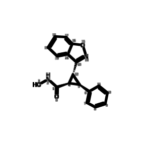 O=C(NO)[C@@H]1[C@H](c2ccccc2)[C@H]1c1noc2ccccc12